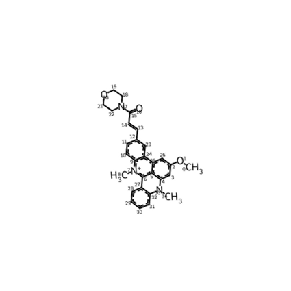 COc1cc2c3c([n+](C)c4ccc(/C=C/C(=O)N5CCOCC5)cc4c3c1)-c1ccccc1N2C